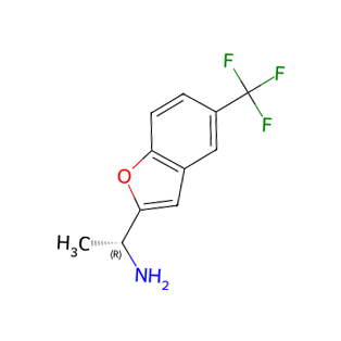 C[C@@H](N)c1cc2cc(C(F)(F)F)ccc2o1